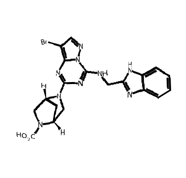 O=C(O)N1C[C@H]2C[C@@H]1CN2c1nc(NCc2nc3ccccc3[nH]2)n2ncc(Br)c2n1